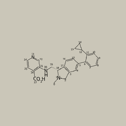 CN1Cc2cc(-c3ccccc3C3CC3)ccc2[C@H]1CNc1cnccc1C(=O)O